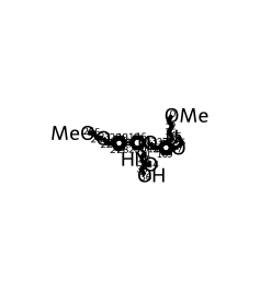 COCCCN1CCOc2ccc(CON3CC[C@@H](c4ccc(COCCOC)cc4)C[C@@H]3CNC(=O)CO)cc21